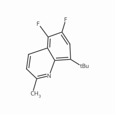 Cc1ccc2c(F)c(F)cc(C(C)(C)C)c2n1